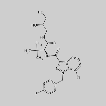 CC(C)(C)[C@H](NC(=O)c1nn(Cc2ccc(F)cc2)c2c(Cl)cccc12)C(=O)NC[C@@H](O)CO